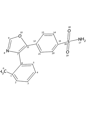 Cc1ccccc1-c1ncoc1-c1ccc(S(N)(=O)=O)cc1